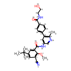 COc1c(C#N)cc(C(C)(C)C)cc1C(=O)Nc1cnc(C)c(-c2ccc(C(=O)NCCO)cc2)c1